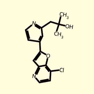 CC(C)(O)Cc1cc(-c2cc3nccc(Cl)c3o2)ccn1